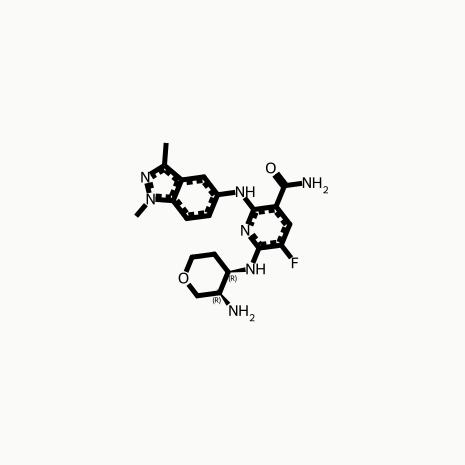 Cc1nn(C)c2ccc(Nc3nc(N[C@@H]4CCOC[C@@H]4N)c(F)cc3C(N)=O)cc12